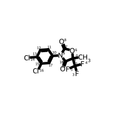 CC1(C(F)(F)F)OC(=O)N(c2ccc(Cl)c(Cl)c2)C1=O